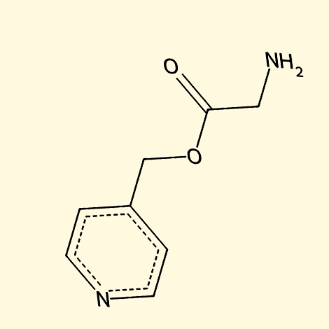 NCC(=O)OCc1ccncc1